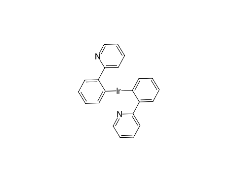 c1ccc(-c2cccc[c]2[Ir][c]2ccccc2-c2ccccn2)nc1